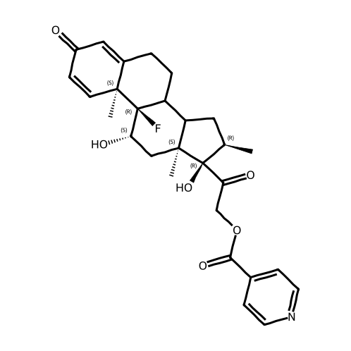 C[C@@H]1CC2C3CCC4=CC(=O)C=C[C@]4(C)[C@@]3(F)[C@@H](O)C[C@]2(C)[C@@]1(O)C(=O)COC(=O)c1ccncc1